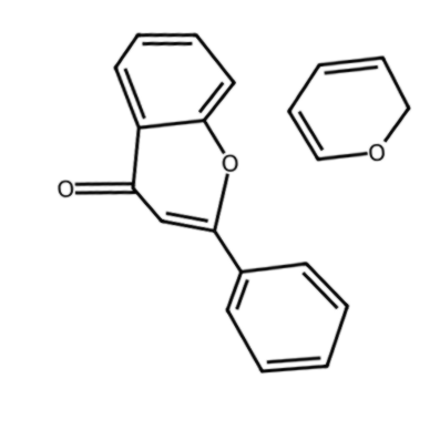 C1=CCOC=C1.O=c1cc(-c2ccccc2)oc2ccccc12